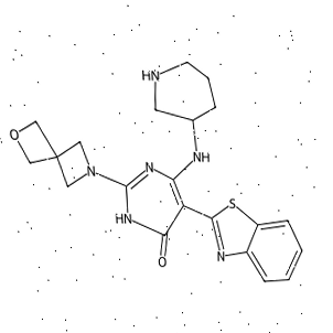 O=c1[nH]c(N2CC3(COC3)C2)nc(NC2CCCNC2)c1-c1nc2ccccc2s1